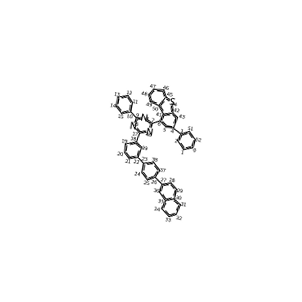 c1ccc(-c2cc(-c3nc(-c4ccccc4)nc(-c4cccc(-c5ccc(-c6ccc7ccccc7c6)cc5)c4)n3)c3c(c2)sc2ccccc23)cc1